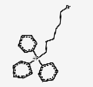 BrCCCCCC[PH](c1ccccc1)(c1ccccc1)c1ccccc1